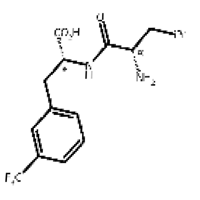 CC(C)C[C@H](N)C(=O)N[C@H](Cc1cccc(C(F)(F)F)c1)C(=O)O